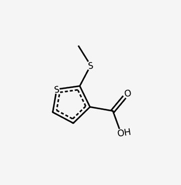 CSc1sccc1C(=O)O